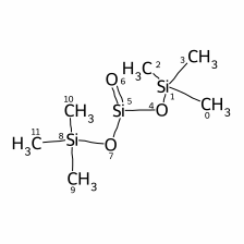 C[Si](C)(C)O[Si](=O)O[Si](C)(C)C